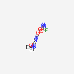 CCC(CC)n1cnn(-c2ccc(N3CCN(c4ccc(OCC5COC(CSc6nncn6C)(c6ccc(F)cc6)O5)cc4)CC3)cc2)c1=O